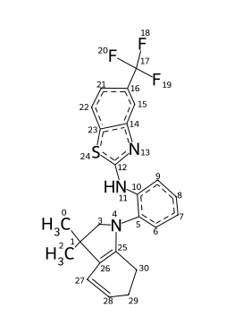 CC1(C)CN(c2ccccc2Nc2nc3cc(C(F)(F)F)ccc3s2)C2=C1C=CCC2